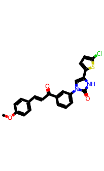 COc1ccc(C=CC(=O)c2cccc(-n3cc(-c4ccc(Cl)s4)[nH]c3=O)c2)cc1